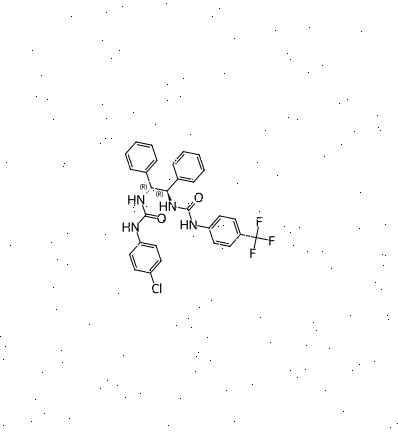 O=C(Nc1ccc(Cl)cc1)N[C@H](c1ccccc1)[C@H](NC(=O)Nc1ccc(C(F)(F)F)cc1)c1ccccc1